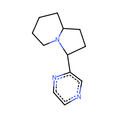 c1cnc(C2CCC3CCCCN32)cn1